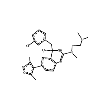 Cc1noc(C)c1-c1ccc2c(c1)C(N)(Cc1cccc(Cl)c1)NC(N(C)CCN(C)C)=N2